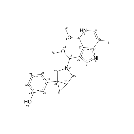 COC1NC=C(C)c2[nH]cc(C(OC)N3CC4CC4(c4cccc(O)c4)C3)c21